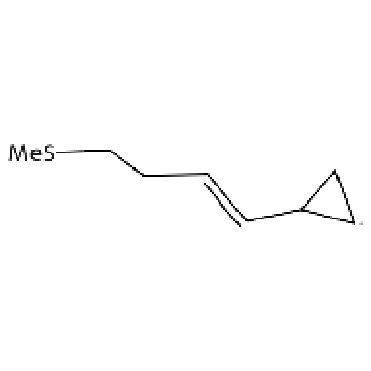 CSCCC=CC1[CH]C1